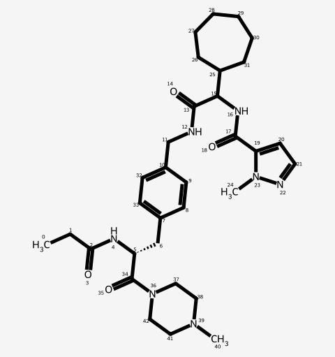 CCC(=O)N[C@H](Cc1ccc(CNC(=O)C(NC(=O)c2ccnn2C)C2CCCCCC2)cc1)C(=O)N1CCN(C)CC1